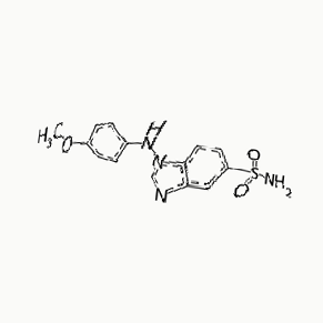 COc1ccc(Nn2cnc3cc(S(N)(=O)=O)ccc32)cc1